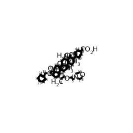 C=C(COCCN1CCOCC1)[C@@H]1CC[C@]2(C(=O)OCc3ccccc3)CC[C@]3(C)[C@H](CC[C@@H]4[C@@]5(C)CC=C(c6ccc(C(=O)O)cc6)C(C)(C)[C@@H]5CC[C@]43C)[C@@H]12